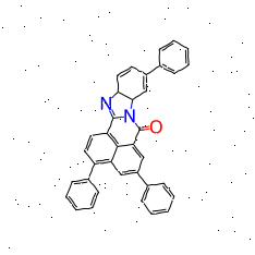 O=c1c2cc(-c3ccccc3)cc3c(-c4ccccc4)ccc(c4n1C1C=C(c5ccccc5)C=CC1N=4)c32